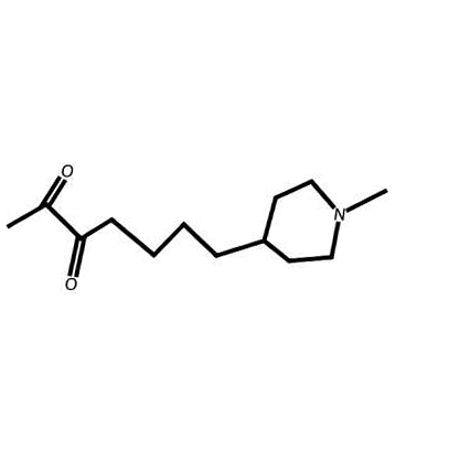 CC(=O)C(=O)CCCCC1CCN(C)CC1